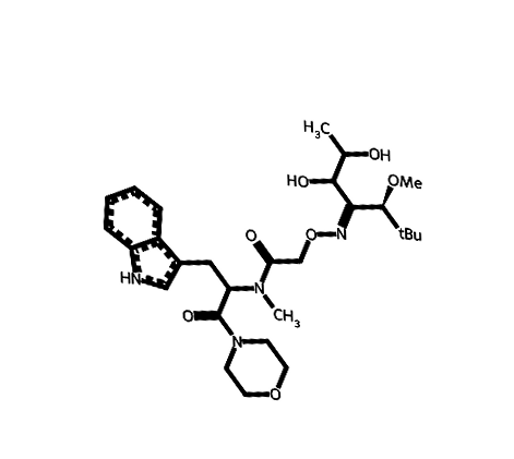 CO[C@H](/C(=N/OCC(=O)N(C)C(Cc1c[nH]c2ccccc12)C(=O)N1CCOCC1)C(O)C(C)O)C(C)(C)C